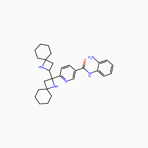 Nc1ccccc1NC(=O)c1ccc(C2(C3CC4(CCCCC4)N3)CC3(CCCCC3)N2)nc1